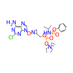 CC[N+](CC)(CC)OP(OCC1CN1On1cnc2c(N)nc(Cl)nc21)OP(=O)(NC(C)C)Oc1ccccc1